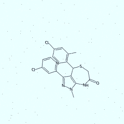 Cc1cc(Cl)ccc1C1SCC(=O)Nc2c1c(-c1cc(Cl)ccn1)nn2C